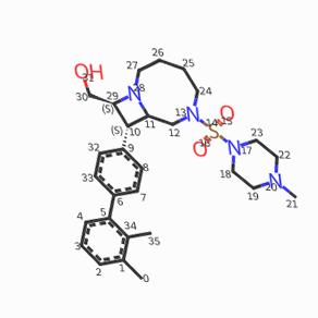 Cc1cccc(-c2ccc([C@H]3C4CN(S(=O)(=O)N5CCN(C)CC5)CCCCN4[C@@H]3CO)cc2)c1C